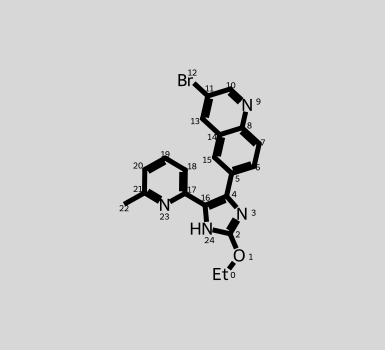 CCOc1nc(-c2ccc3ncc(Br)cc3c2)c(-c2cccc(C)n2)[nH]1